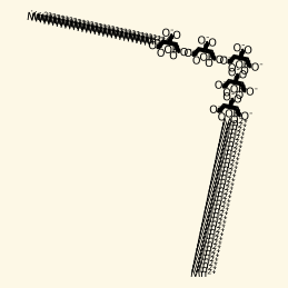 O=C([O-])CC(O)(CC(=O)[O-])C(=O)[O-].O=C([O-])CC(O)(CC(=O)[O-])C(=O)[O-].O=C([O-])CC(O)(CC(=O)[O-])C(=O)[O-].O=C([O-])CC(O)(CC(=O)[O-])C(=O)[O-].O=C([O-])CC(O)(CC(=O)[O-])C(=O)[O-].[Mn+2].[Mn+2].[Mn+2].[Mn+2].[Mn+2].[Mn+2].[Mn+2].[Mn+2].[Mn+2].[Mn+2].[Mn+2].[Mn+2].[Mn+2].[Mn+2].[Mn+2].[Mn+2].[Mn+2].[Mn+2].[Mn+2].[Mn+2].[Mn+2].[Mn+2].[Mn+2].[Mn+2].[Mn+2].[Mn+2].[Mn+2].[Mn+2].[Mn+2].[Mn+2].[Mn+2].[Mn+2].[Mn+2].[Mn+2].[Mn+2].[Mn+2].[Mn+2].[Mn+2].[Mn+2].[Mn+2].[Mn+2].[Mn+2].[Mn+2].[Mn+2].[Mn+2].[Mn+2].[Mn+2].[Mn+2].[Mn+2].[Mn+2].[Mn+2].[Mn+2].[Mn+2].[Mn+2].[Mn+2].[Mn+2].[Mn+2].[Mn+2].[Mn+2].[Mn+2].[Mn+2].[Mn+2].[Mn+2].[Mn+2].[Mn+2].[Mn+2]